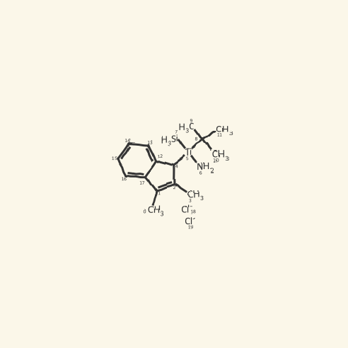 CC1=C(C)[CH]([Ti]([NH2])([SiH3])[C](C)(C)C)c2ccccc21.[Cl-].[Cl-]